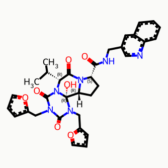 CC(C)[C@@H]1C(=O)N2[C@H](C(=O)NCc3cnc4ccccc4c3)CC[C@@H]2[C@@]2(O)N(Cc3ccco3)C(=O)N(Cc3ccco3)C(=O)N12